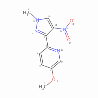 COc1ccc(-c2nn(C)cc2[N+](=O)[O-])nc1